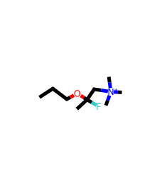 CCCOC(C)(F)C[N+](C)(C)C